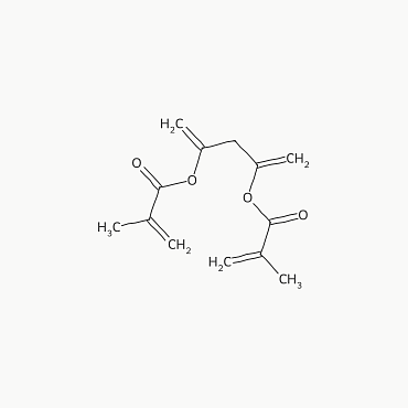 C=C(CC(=C)OC(=O)C(=C)C)OC(=O)C(=C)C